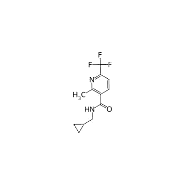 Cc1nc(C(F)(F)F)ccc1C(=O)NCC1CC1